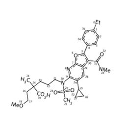 CCc1ccc(-c2oc3nc(N(CCCC(C)(CCOC)C(=O)O)S(C)(=O)=O)c(C4CC4)cc3c2C(=O)NC)cc1